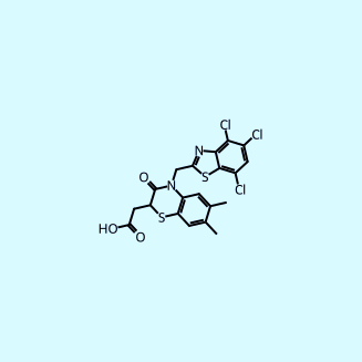 Cc1cc2c(cc1C)N(Cc1nc3c(Cl)c(Cl)cc(Cl)c3s1)C(=O)C(CC(=O)O)S2